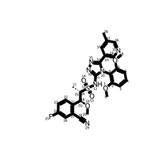 COc1cccc(OC)c1-n1c(NS(=O)(=O)[C@@H](C)[C@@H](OC)c2ccc(F)cc2C#N)nnc1-c1cncc(C)c1